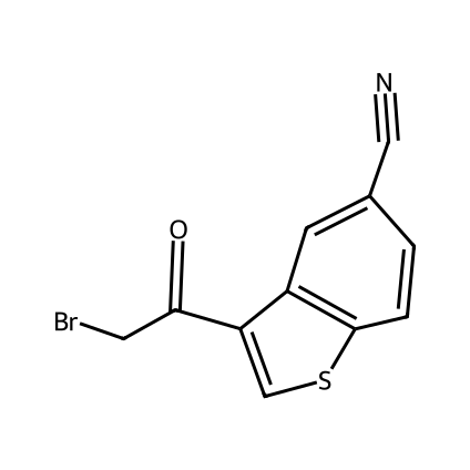 N#Cc1ccc2scc(C(=O)CBr)c2c1